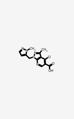 Cc1nn(Cc2ccnn2C)c2ncc(C(=O)O)c(Cl)c12